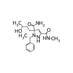 CNC(=O)C1=CC(CCC(C)O)(C(N)=O)N([C@@H](C)c2ccccc2)N1